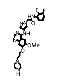 COc1cc2c(Nc3cnn(CC(=O)Nc4cccc(F)c4F)c3)ncnc2cc1OCCCN1CCNCC1